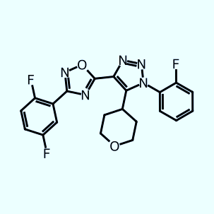 Fc1ccc(F)c(-c2noc(-c3nnn(-c4ccccc4F)c3C3CCOCC3)n2)c1